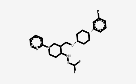 Fc1cccc([C@H]2CC[C@@H](OCC3CN(c4cccnn4)CCC3NSC(F)F)CC2)c1